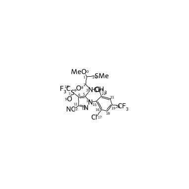 COC(CN(C)c1c(S(=O)(=O)C(F)(F)F)c(C#N)nn1-c1c(Cl)cc(C(F)(F)F)cc1Cl)SC